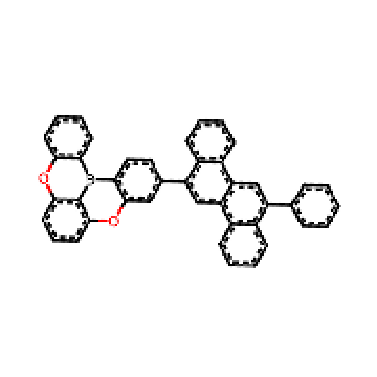 c1ccc(-c2cc3c4ccccc4c(-c4ccc5c(c4)Oc4cccc6c4B5c4ccccc4O6)cc3c3ccccc23)cc1